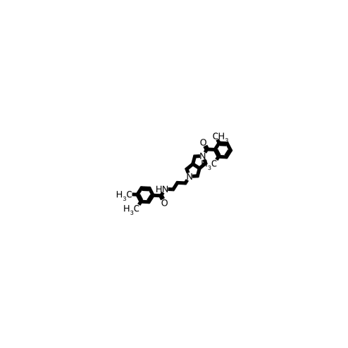 Cc1ccc(C(=O)NCCCN2CC3CN(C(=O)c4c(C)cccc4C)CC3C2)cc1C